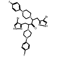 O=C(C(Cc1n[nH]cc1Br)N1CCN(c2ccc(F)cc2)CC1)C(Cc1n[nH]cc1Br)N1CCN(c2ccc(F)cc2)CC1